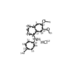 COc1cc2ncnc(Nc3ccc(I)cc3)c2cc1OC.Cl